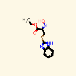 CCOC(=O)/C(CSc1nc2ccccc2[nH]1)=N\O